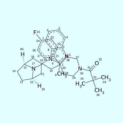 Cc1nc2ccccc2n1C1C[C@H]2CC[C@@H](C1)N2CCC1(c2ccc(F)cc2)CCN(C(=O)C(C)(C)C)CC1